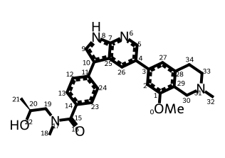 COc1cc(-c2cnc3[nH]cc(-c4ccc(C(=O)N(C)C[C@H](C)O)cc4)c3c2)cc2c1CN(C)CC2